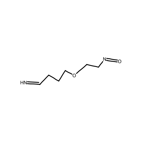 N=CCCCOCCN=O